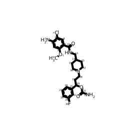 COc1cc(N)c(Cl)cc1C(=O)NCC1CCN(CCC(OC(N)=O)c2cccc(F)c2)CC1